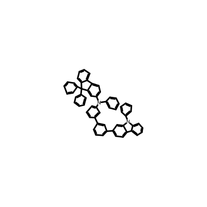 c1ccc(N(c2cccc(-c3cccc(-c4ccc5c6ccccc6n(-c6ccccc6)c5c4)c3)c2)c2ccc3c(c2)C(c2ccccc2)(c2ccccc2)c2ccccc2-3)cc1